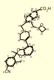 CC1(c2ccc(C#N)cc2F)Oc2cccc(C3=CCN(Cc4nc5sc(C(=O)O)nc5n4C[C@@H]4CCO4)CC3)c2O1